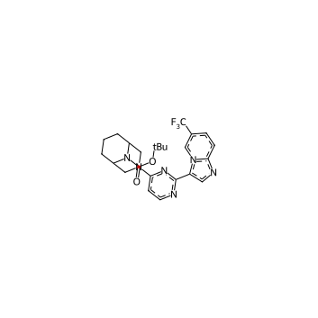 CC(C)(C)OC(=O)N1C2CCCC1CN(c1ccnc(-c3cnc4ccc(C(F)(F)F)cn34)n1)C2